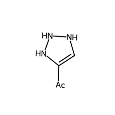 CC(=O)C1=CNNN1